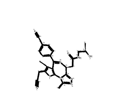 Cc1c(CC#N)sc2c1C(c1ccc(C#N)cc1)=N[C@@H](CC(=O)NC[C@@H](C)O)c1nnc(C)n1-2